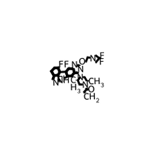 C=CC(=O)N1C[C@H](C)N(c2nc(OCCN3CC(F)(F)C3)nc3c(F)c(-c4c(F)ccc5cn[nH]c45)c(Cl)cc23)C[C@H]1C